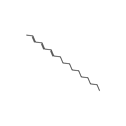 C/C=C/C=[C]/C=C/CCCCCCCCCC